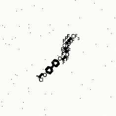 C[C@H](Cl)COc1ccc(-c2ccc(OC(F)C(F)(F)OC(F)(F)C(F)(F)OC(F)(F)C(F)(F)C(F)(F)C(F)(F)F)cc2)cc1